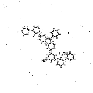 Cc1c(C2=CCC(C)C=C2)cccc1-c1ccc2c3cc(-c4cc(C#N)cc(-c5cccc(-c6ccccc6N)c5)c4)ccc3n(-c3ccccc3)c2c1